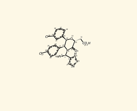 CCC[C@H](c1nnn[nH]1)N1C(=O)[C@@H](CC(=O)O)O[C@H](c2cccc(Cl)c2)[C@@H]1c1ccc(Cl)cc1